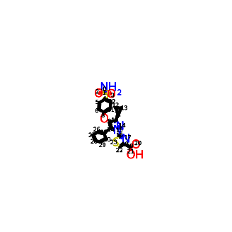 NS(=O)(=O)c1ccc(Oc2c(C3CC3)nn(-c3nc(C(=O)O)cs3)c2-c2ccccc2)cc1